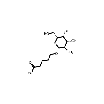 C[C@H]1[C@H](OCCCCC(=O)C(C)(C)C)O[C@H](CO)[C@H](O)[C@@H]1O